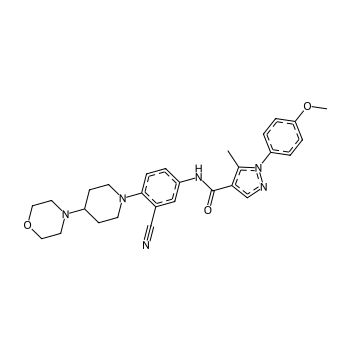 COc1ccc(-n2ncc(C(=O)Nc3ccc(N4CCC(N5CCOCC5)CC4)c(C#N)c3)c2C)cc1